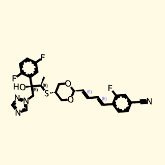 C[C@@H](S[C@H]1CO[C@H](/C=C/C=C/c2ccc(C#N)cc2F)OC1)[C@](O)(Cn1cncn1)c1cc(F)ccc1F